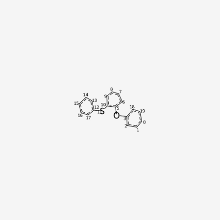 c1ccc(Oc2ccccc2Sc2ccccc2)cc1